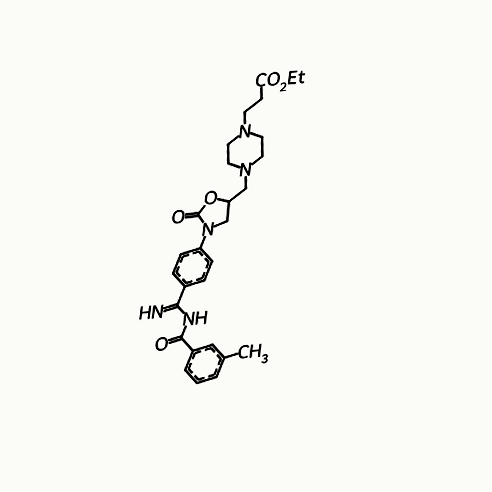 CCOC(=O)CCN1CCN(CC2CN(c3ccc(C(=N)NC(=O)c4cccc(C)c4)cc3)C(=O)O2)CC1